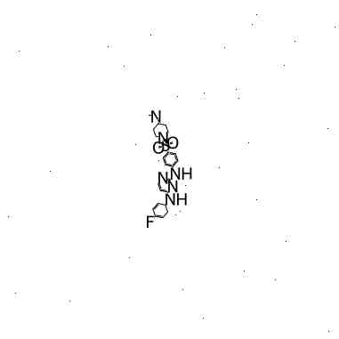 CN(C)C1CCN(S(=O)(=O)c2ccc(Nc3nccc(NC4C=CC(F)=CC4)n3)cc2)CC1